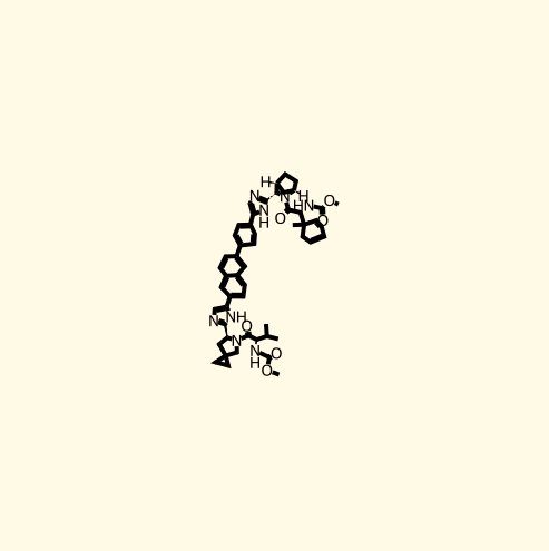 COC(=O)N[C@H](C(=O)N1CC2(CC2)C[C@H]1c1ncc(-c2ccc3cc(-c4ccc(-c5cnc([C@@H]6[C@H]7CC[C@H](C7)N6C(=O)[C@H](NC(=O)OC)C6(C)C=CC=CC6)[nH]5)cc4)ccc3c2)[nH]1)C(C)C